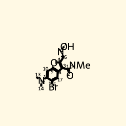 CNC(=O)c1c(/C=N/O)oc2cc(N(C)C)c(Br)cc12